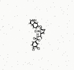 CCn1c(C(C)NS(=O)(=O)c2ccc(Cl)c(Cl)c2)cnc1Oc1ccc2cc[nH]c2c1